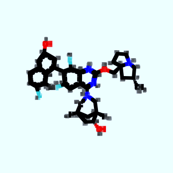 CCc1c(F)ccc2cc(O)cc(-c3c(F)cc4c(N5C[C@@H]6C[C@H](C5)[C@H](O)C6)nc(OC[C@@]56CCCN5C[C@H](C)C6)nc4c3F)c12